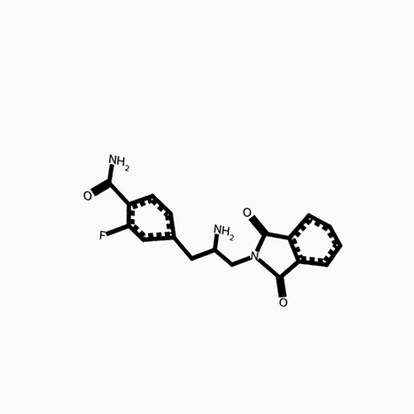 NC(=O)c1ccc(CC(N)CN2C(=O)c3ccccc3C2=O)cc1F